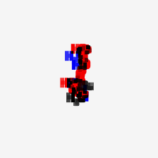 Cc1ncsc1-c1ccc(CNC(=O)[C@@H]2C[C@@H](O)CN2C(=O)[C@@H](NC(=O)COCCOCCOCCNC(=O)C23CC(COc4cc(-c5ccccc5O)nnc4N)(C2)C3)C(C)(C)C)cc1